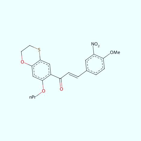 CCCOc1cc2c(cc1C(=O)C=Cc1ccc(OC)c([N+](=O)[O-])c1)SCCO2